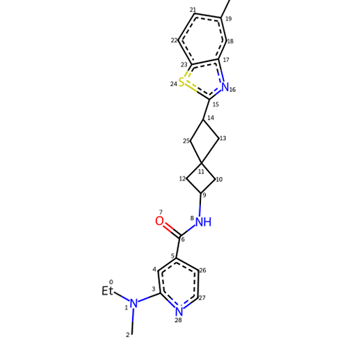 CCN(C)c1cc(C(=O)NC2CC3(C2)CC(c2nc4cc(C)ccc4s2)C3)ccn1